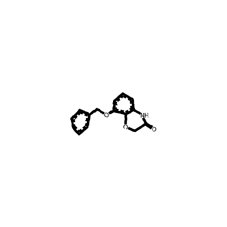 O=C1COc2c(cccc2OCc2ccccc2)N1